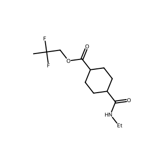 CCNC(=O)C1CCC(C(=O)OCC(C)(F)F)CC1